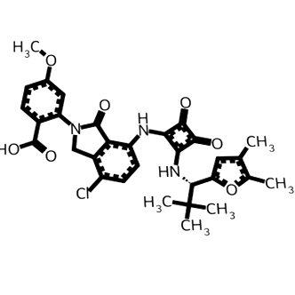 COc1ccc(C(=O)O)c(N2Cc3c(Cl)ccc(Nc4c(N[C@H](c5cc(C)c(C)o5)C(C)(C)C)c(=O)c4=O)c3C2=O)c1